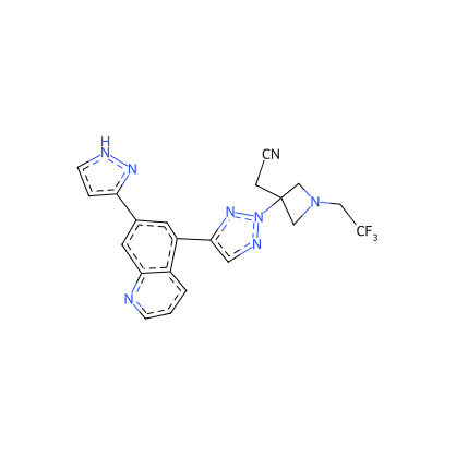 N#CCC1(n2ncc(-c3cc(-c4cc[nH]n4)cc4ncccc34)n2)CN(CC(F)(F)F)C1